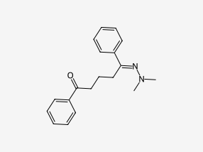 CN(C)/N=C(\CCCC(=O)c1ccccc1)c1ccccc1